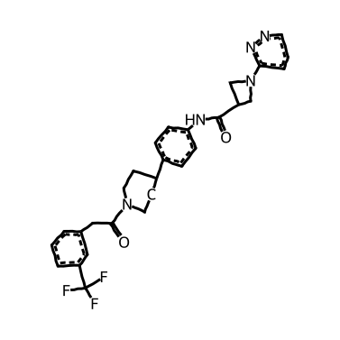 O=C(Nc1ccc(C2CCN(C(=O)Cc3cccc(C(F)(F)F)c3)CC2)cc1)C1CN(c2cccnn2)C1